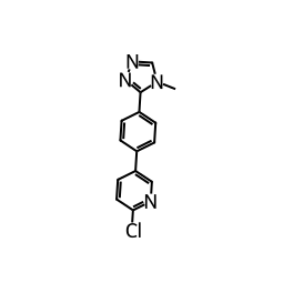 Cn1cnnc1-c1ccc(-c2ccc(Cl)nc2)cc1